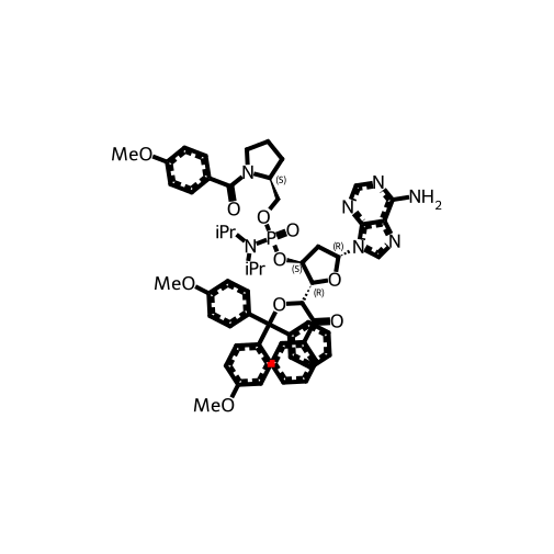 COc1ccc(C(=O)N2CCC[C@H]2COP(=O)(O[C@H]2C[C@H](n3cnc4c(N)ncnc43)O[C@@H]2C(OC(c2ccccc2)(c2ccc(OC)cc2)c2ccc(OC)cc2)C(=O)c2ccccc2)N(C(C)C)C(C)C)cc1